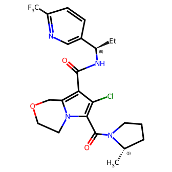 CC[C@@H](NC(=O)c1c(Cl)c(C(=O)N2CCC[C@@H]2C)n2c1COCC2)c1ccc(C(F)(F)F)nc1